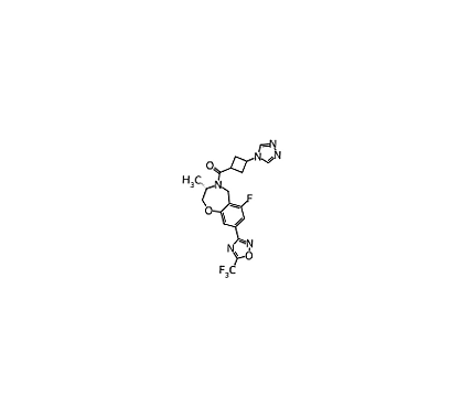 C[C@H]1COc2cc(-c3noc(C(F)(F)F)n3)cc(F)c2CN1C(=O)C1CC(n2cnnc2)C1